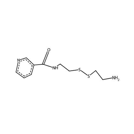 NCCSSCCNC(=O)c1cccnc1